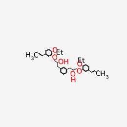 C/C=C/c1ccc(OCC)c(OCC(O)Cc2cccc(CC(O)COc3cc(/C=C/C)ccc3OCC)c2)c1